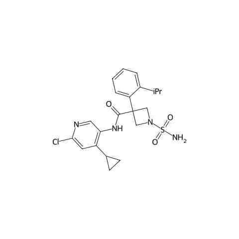 CC(C)c1ccccc1C1(C(=O)Nc2cnc(Cl)cc2C2CC2)CN(S(N)(=O)=O)C1